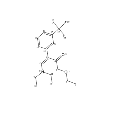 CCOCC(=O)C(=CN(CC)CC)c1cccc(C(F)(F)F)c1